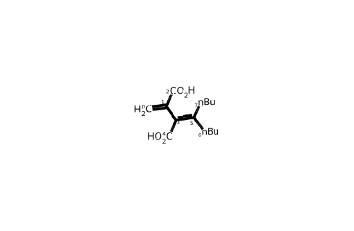 C=C(C(=O)O)C(C(=O)O)=C(CCCC)CCCC